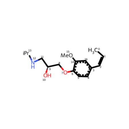 C/C=C\c1ccc(OC[C@@H](O)CNC(C)C)c(OC)c1